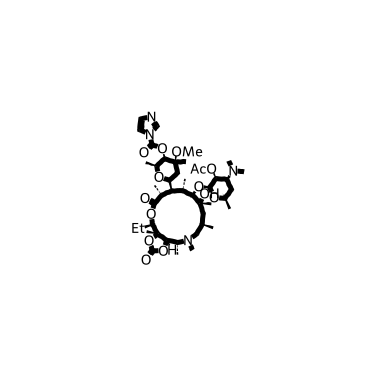 CC[C@H]1OC(=O)[C@H](C)[C@@H](C2C[C@@](C)(OC)[C@@H](OC(=O)n3ccnc3)[C@H](C)O2)[C@H](C)[C@@H](O[C@@H]2O[C@H](C)C[C@H](N(C)C)[C@H]2OC(C)=O)[C@](C)(O)C[C@@H](C)CN(C)[C@H](C)[C@H]2OC(=O)O[C@@]21C